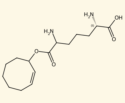 NC(CCC[C@H](N)C(=O)O)C(=O)OC1C=CCCCCC1